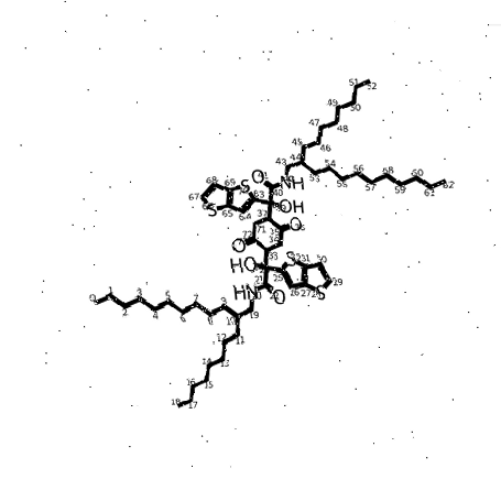 CCCCCCCCCCC(CCCCCCCC)CNC(=O)C(O)(c1cc2sccc2s1)C1CC(=O)C(C(O)(C(=O)NCC(CCCCCCCC)CCCCCCCCCC)c2cc3sccc3s2)CC1=O